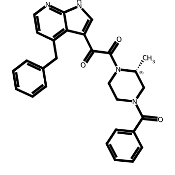 C[C@@H]1CN(C(=O)c2ccccc2)CCN1C(=O)C(=O)c1c[nH]c2nccc(Cc3ccccc3)c12